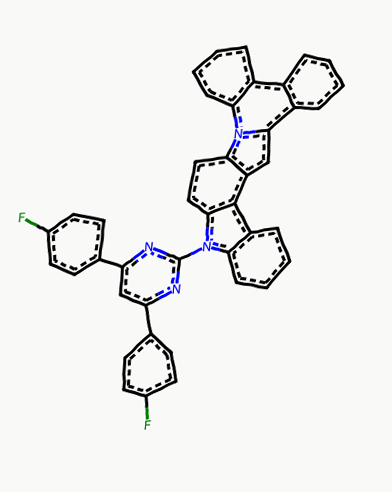 Fc1ccc(-c2cc(-c3ccc(F)cc3)nc(-n3c4ccccc4c4c5cc6c7ccccc7c7ccccc7n6c5ccc43)n2)cc1